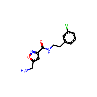 NCc1cc(C(=O)NCCc2cccc(Cl)c2)no1